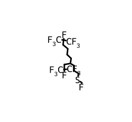 FCSCCCC(CCCCC(F)(C(F)(F)F)C(F)(F)F)CC(F)(C(F)(F)F)C(F)(F)F